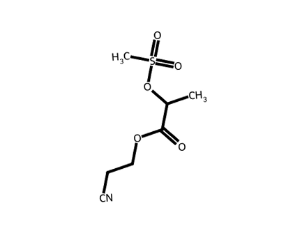 CC(OS(C)(=O)=O)C(=O)OCCC#N